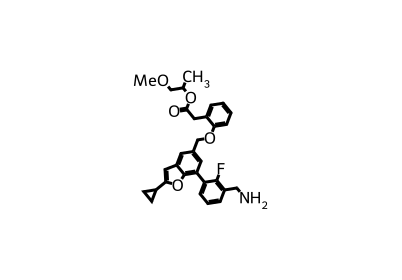 COCC(C)OC(=O)Cc1ccccc1OCc1cc(-c2cccc(CN)c2F)c2oc(C3CC3)cc2c1